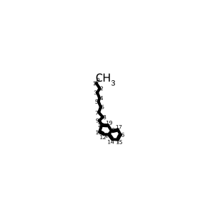 CCCCCCCCCCc1ccc2c[c]ccc2c1